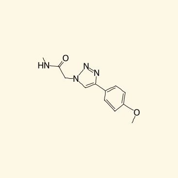 CNC(=O)Cn1cc(-c2ccc(OC)cc2)nn1